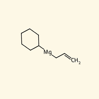 C=C[CH2][Mg][CH]1CCCCC1